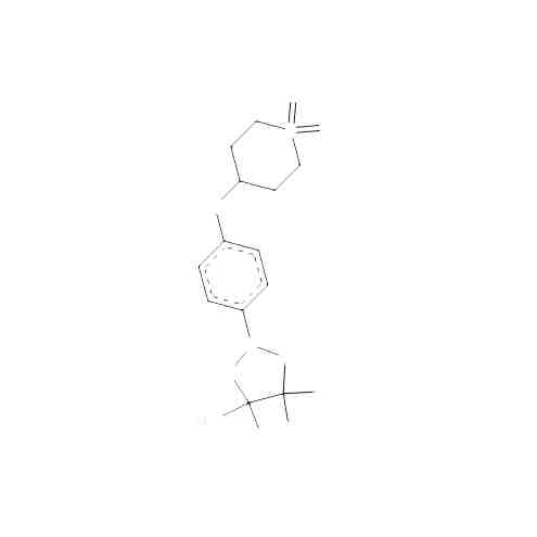 CC1(C)OB(c2ccc(OC3CCS(=O)(=O)CC3)cc2)OC1(C)C